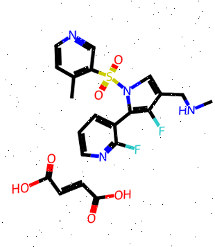 CNCc1cn(S(=O)(=O)c2cnccc2C)c(-c2cccnc2F)c1F.O=C(O)C=CC(=O)O